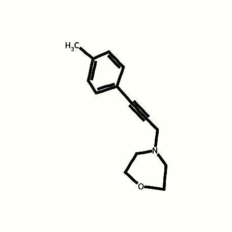 Cc1ccc(C#CCN2CCOCC2)cc1